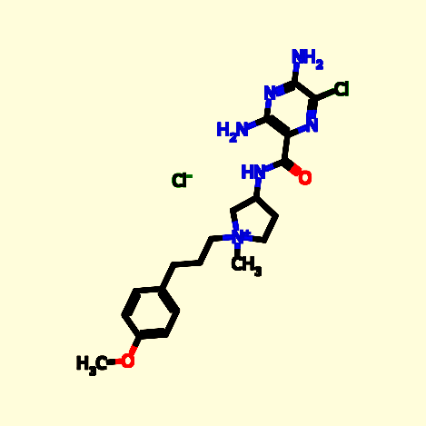 COc1ccc(CCC[N+]2(C)CCC(NC(=O)c3nc(Cl)c(N)nc3N)C2)cc1.[Cl-]